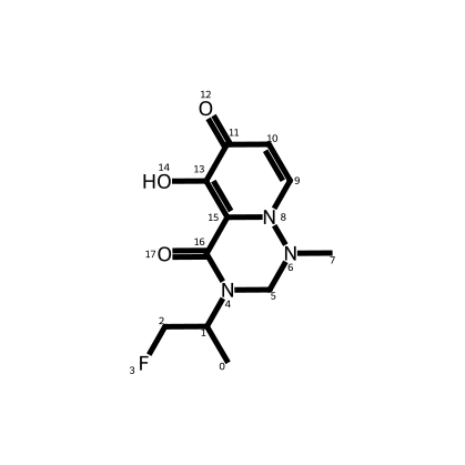 CC(CF)N1CN(C)n2ccc(=O)c(O)c2C1=O